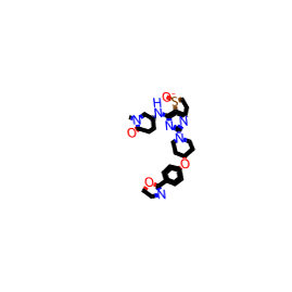 CN1C[C@@H](Nc2nc(N3CCC(Oc4ccc(C5=NCCO5)cc4)CC3)nc3c2[S+]([O-])CC3)CCC1=O